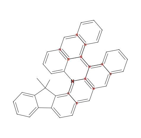 CC1(C)c2ccccc2-c2cccc(N(c3ccccc3C(=C(c3ccccc3)c3ccccc3)c3ccccc3)c3ccccc3-c3ccccc3)c21